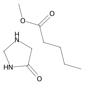 CCCCC(=O)OC.O=C1CNCN1